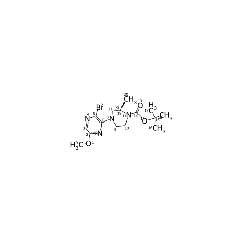 COc1cnc(Br)c(N2CCN(C(=O)OC(C)(C)C)[C@H](C)C2)n1